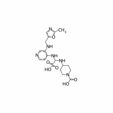 Cc1ncc(CNc2cnccc2NC(NC2CCN(C(=O)O)CC2)S(=O)(=O)O)o1